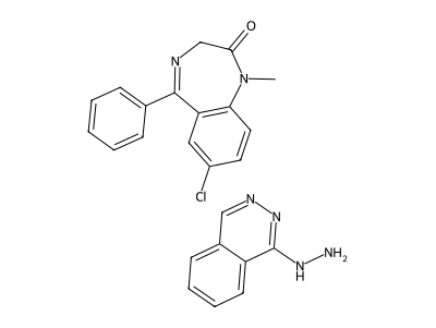 CN1C(=O)CN=C(c2ccccc2)c2cc(Cl)ccc21.NNc1nncc2ccccc12